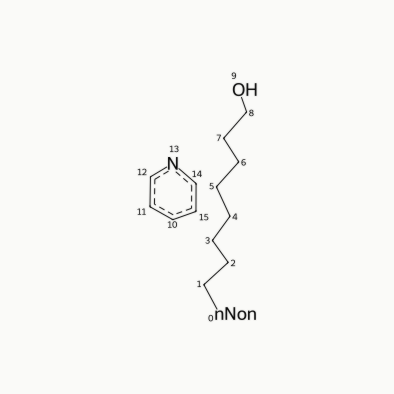 CCCCCCCCCCCCCCCCCO.c1ccncc1